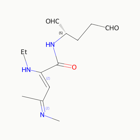 CCN/C(=C\C(C)=N/C)C(=O)N[C@H](C=O)CCC=O